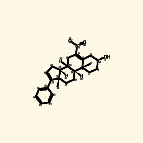 C[C@]12CC[C@H](O)CC1=C([N+](=O)[O-])C[C@@H]1[C@@H]2CC[C@]2(C)C(c3ccccc3)=CC[C@@H]12